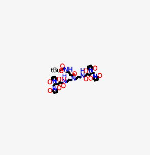 CC(C)(C)OC(=O)NCCCC(=O)N(CCCNC(=O)CCC(CN1C(=O)C=CC1=O)N1C(=O)C=CC1=O)CCCNC(=O)CCC(CN1C(=O)CCC1=O)N1C(=O)C=CC1O